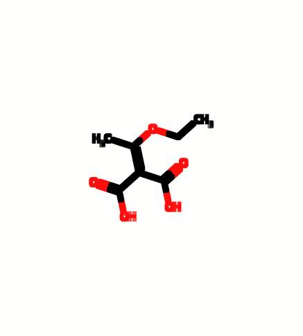 CCOC(C)=C(C(=O)O)C(=O)O